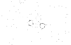 CCCCCCCCSc1nc(NC2(c3cc(C(C)(C)C)cc(C(C)(C)C)c3)CCC(O)CC2)nc(SCCCCCCCC)n1